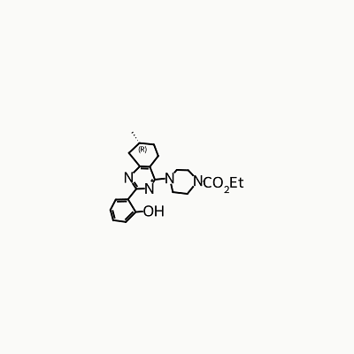 CCOC(=O)N1CCN(c2nc(-c3ccccc3O)nc3c2CC[C@@H](C)C3)CC1